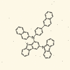 c1ccc2cc(-c3ccc(N(c4ccc5ccccc5c4)c4cc(-n5c6ccccc6c6ccccc65)cc5c4sc4ccccc45)cc3)ccc2c1